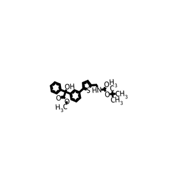 COC(=O)C(O)(c1ccccc1)c1cccc(-c2ccc(CNC(=O)OC(C)(C)C)s2)c1